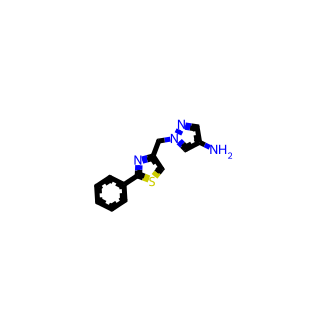 Nc1cnn(Cc2csc(-c3ccccc3)n2)c1